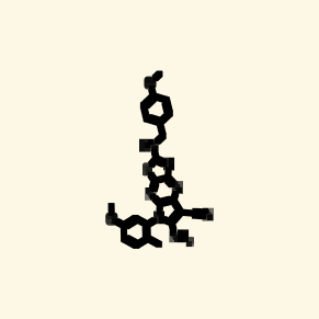 COc1ccc(CNc2nc3nc4c(C#N)c(N)n(-c5cc(OC)ccc5C)c4nc3s2)cc1